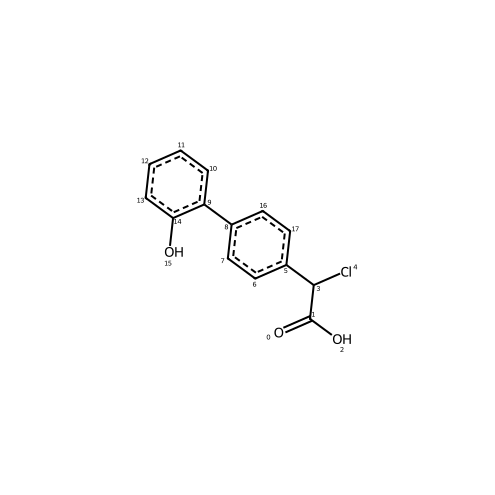 O=C(O)C(Cl)c1ccc(-c2ccccc2O)cc1